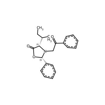 CCC(C)[C@H]1C(=O)O[C@@H](c2ccccc2)N1CC(=O)c1ccccc1